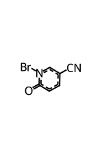 N#Cc1ccc(=O)n(Br)c1